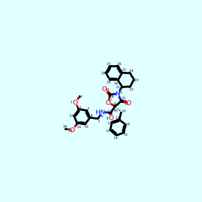 COc1cc(CNC(=O)[C@@]2(Cc3ccccc3)OC(=O)N(C3CCCc4ccccc43)C2=O)cc(OC)c1